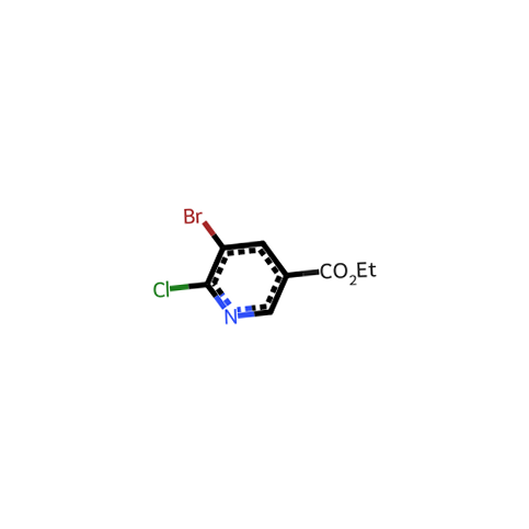 CCOC(=O)c1cnc(Cl)c(Br)c1